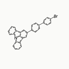 Brc1ccc(-c2ccc(-c3cc4c5ccccc5n5c6ccccc6c(c3)c45)cc2)cc1